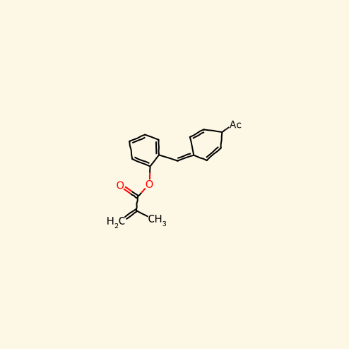 C=C(C)C(=O)Oc1ccccc1C=C1C=CC(C(C)=O)C=C1